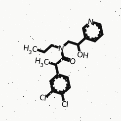 CCCN(CC(O)c1cccnc1)C(=O)C(C)c1ccc(Cl)c(Cl)c1